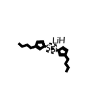 CCCCC1=CC([Si](C)(C)[Si](C)(C)C2C=CC(CCCC)=C2)C=C1.[LiH]